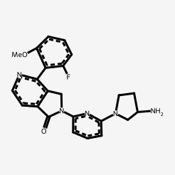 COc1cccc(F)c1-c1nccc2c1CN(c1cccc(N3CCC(N)C3)n1)C2=O